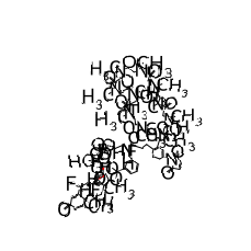 CN(CC(=O)O)C(=O)CN(C)C(=O)CN(C)C(=O)CN(C)C(=O)CN(C)C(=O)CN(C)C(=O)CN(C)C(=O)CN(C)C(=O)CN(C)C(=O)CN(C)C(=O)c1cc(N2C(=O)C=CC2=O)ccc1CCC(=O)NCCOP(=O)(O)OP(=O)(O)OCC(=O)[C@@]12O[C@H](c3cccc(F)c3)O[C@@H]1C[C@H]1[C@@H]3C[C@H](F)C4=CC(=O)C=C[C@]4(C)[C@@]3(F)[C@@H](O)C[C@@]12C